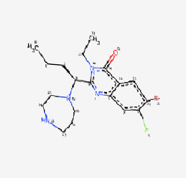 CCC[C@@H](c1nc2cc(F)c(Br)cc2c(=O)n1CC)N1CCCNCC1